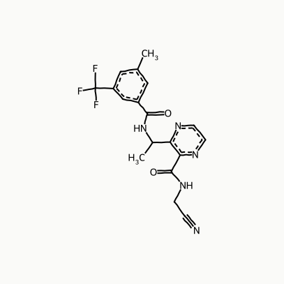 Cc1cc(C(=O)NC(C)c2nccnc2C(=O)NCC#N)cc(C(F)(F)F)c1